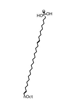 CCCCCCCCC=CCCCCCCCCCCCCCCCCC=CCCCCCCCCP(=O)(O)O